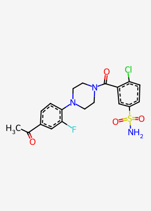 CC(=O)c1ccc(N2CCN(C(=O)c3cc(S(N)(=O)=O)ccc3Cl)CC2)c(F)c1